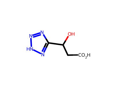 O=C(O)CC(O)c1nn[nH]n1